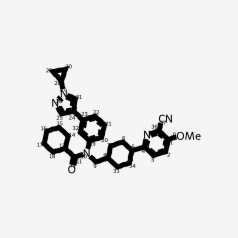 COc1ccc(C2CCC(CN(C(=O)C3CCCCC3)c3cccc(-c4cnn(C5CC5)c4)c3)CC2)nc1C#N